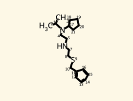 CC(C)N(CCNCCSCc1ccccc1)C1CCCC1